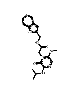 CSc1cnc(NC(C)C)c(=O)n1CC(=O)NCc1cc2cnccc2[nH]1